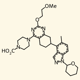 COCCOc1nc2c(c(N3CCN(C(=O)O)CC3)n1)CCC(c1c(C)ccc3c1cnn3C1CCCCO1)C2